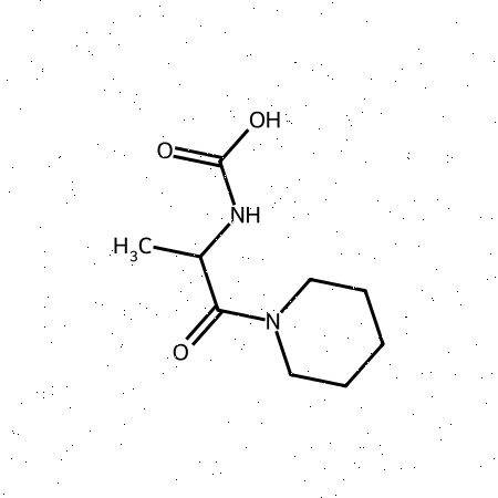 CC(NC(=O)O)C(=O)N1CCCCC1